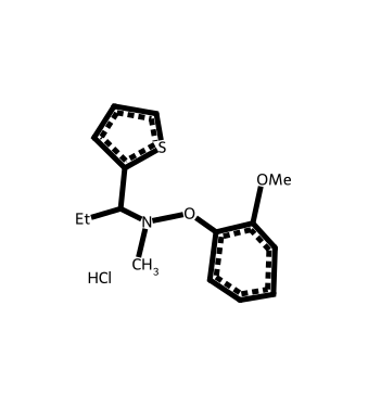 CCC(c1cccs1)N(C)Oc1ccccc1OC.Cl